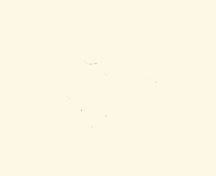 Nc1nc2ccccc2c2c1nc1n2[C@@H](Cc2ccccc2)COC1